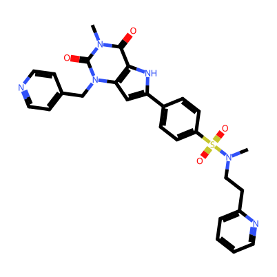 CN(CCc1ccccn1)S(=O)(=O)c1ccc(-c2cc3c([nH]2)c(=O)n(C)c(=O)n3Cc2ccncc2)cc1